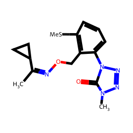 CSc1cccc(-n2nnn(C)c2=O)c1CON=C(C)C1CC1